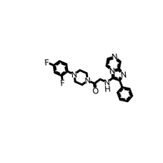 O=C(CNc1c(-c2ccccc2)nc2cnccn12)N1CCN(c2ccc(F)cc2F)CC1